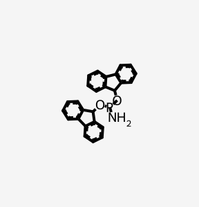 NP(OC1c2ccccc2-c2ccccc21)OC1c2ccccc2-c2ccccc21